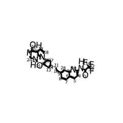 O=C(Nc1ccc2ccc(CC[C@@H]3C[C@@H](O)[C@H](n4ccc5c(O)ncnc54)C3)cc2n1)C(F)(F)F